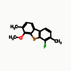 COc1c(C)ccc2c1sc1c(F)c(C)ccc12